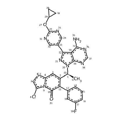 C[C@@H](c1cc2scc(Cl)n2c(=O)c1-c1cccc(F)c1)n1nc(-c2cnc(OC3CC3)nc2)c2c(N)ncnc21